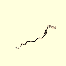 CCCCCC#CCCCCCCCCCCCCCC